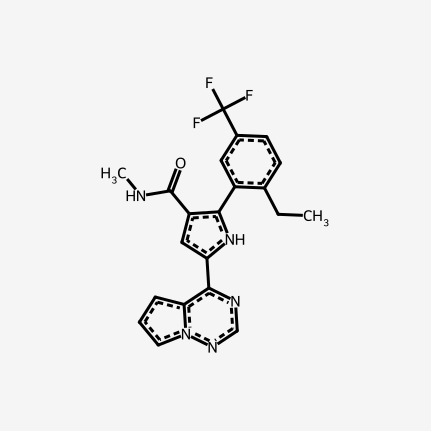 CCc1ccc(C(F)(F)F)cc1-c1[nH]c(-c2ncnn3cccc23)cc1C(=O)NC